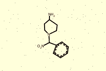 NC1CCN(C(c2ccccc2)[N+](=O)[O-])CC1